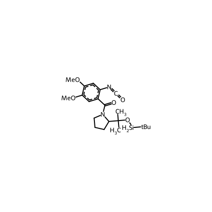 COc1cc(N=C=O)c(C(=O)N2CCCC2C(C)(C)O[SiH2]C(C)(C)C)cc1OC